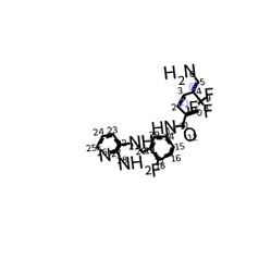 C=C(/C=C\C(=C/N)C(F)(F)F)C(=O)Nc1ccc(F)c(CNc2cccnc2N)c1